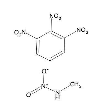 CN[N+](=O)[O-].O=[N+]([O-])c1cccc([N+](=O)[O-])c1[N+](=O)[O-]